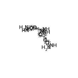 N=C(N)c1ccc(OCCCCNC(=N)N(CCCCOc2ccc(C(=N)N)cc2)c2ccccc2)cc1